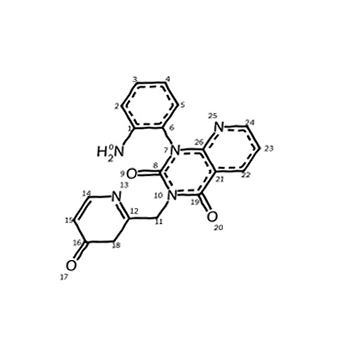 Nc1ccccc1-n1c(=O)n(CC2=NC=CC(=O)C2)c(=O)c2cccnc21